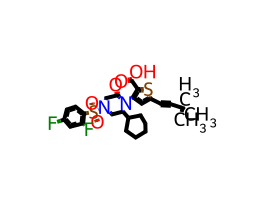 CC(C)(C)C#Cc1cc(N2C(=O)CN(S(=O)(=O)c3ccc(F)cc3F)CC2C2CCCCC2)c(C(=O)O)s1